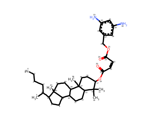 CC(C)CCCC(C)C1CCC2C3CCC4C(C)(C)C(OC(=O)/C=C\C(=O)OCc5cc(N)cc(N)c5)CCC4(C)C3CCC12C